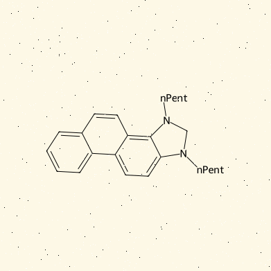 CCCCCN1CN(CCCCC)c2c1ccc1c2ccc2ccccc21